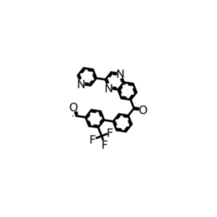 O=[C]c1ccc(-c2cccc(C(=O)c3ccc4ncc(-c5cccnc5)nc4c3)c2)c(C(F)(F)F)c1